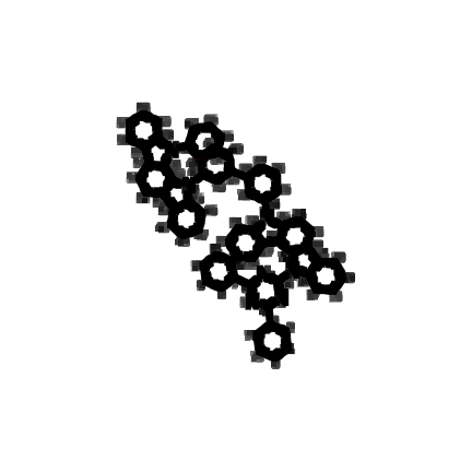 c1ccc(-c2nc(-c3ccccc3)nc(-n3c4ccccc4c4ccc5c(c6ccccc6n5-c5cccc(-c6cccc(-n7c8ccccc8c8ccc9c%10ccccc%10n(-c%10ccccc%10)c9c87)c6)c5)c43)n2)cc1